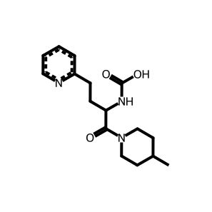 CC1CCN(C(=O)C(CCc2ccccn2)NC(=O)O)CC1